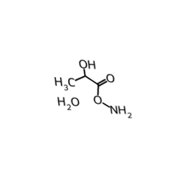 CC(O)C(=O)ON.O